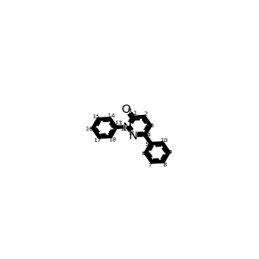 O=c1ccc(-c2ccccc2)nn1-c1ccccc1